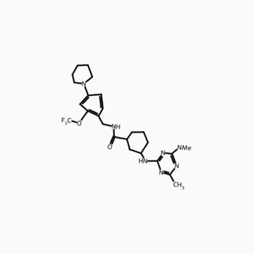 CNc1nc(C)nc(NC2CCCC(C(=O)NCc3ccc(N4CCCCC4)cc3OC(F)(F)F)C2)n1